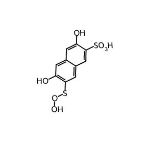 O=S(=O)(O)c1cc2cc(SOO)c(O)cc2cc1O